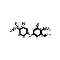 CNc1cc(OC2CCC(N(C(=O)O)C(C)(C)C)CC2)cc(Br)c1[N+](=O)[O-]